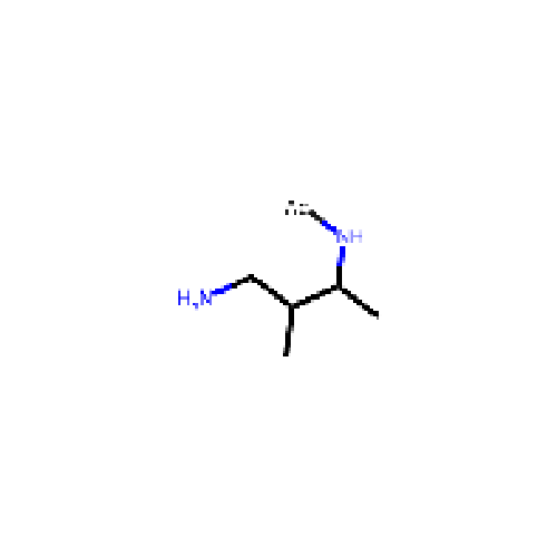 CC(=O)NC(C)C(C)CN